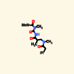 CNC(=O)N(C)C(=O)NC(=O)C(C)CN(C)C(=O)CC(C)C